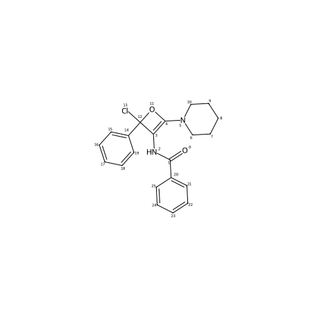 O=C(NC1=C(N2CCCCC2)OC1(Cl)c1ccccc1)c1ccccc1